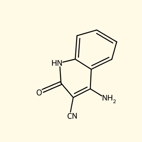 N#Cc1c(N)c2ccccc2[nH]c1=O